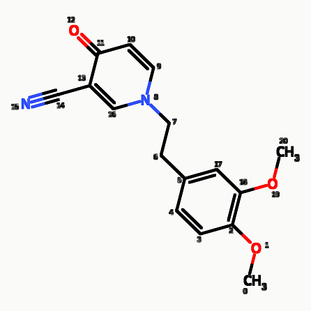 COc1ccc(CCn2ccc(=O)c(C#N)c2)cc1OC